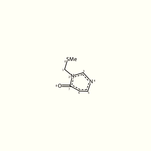 CSCn1cnccc1=O